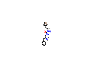 C[C@@H](Cc1ccsc1)NC(=O)NCC(CC1=CC=CCC1)N(C)C